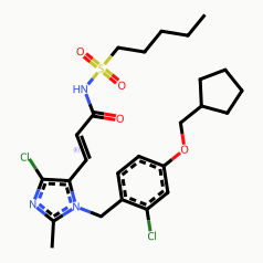 CCCCCS(=O)(=O)NC(=O)/C=C/c1c(Cl)nc(C)n1Cc1ccc(OCC2CCCC2)cc1Cl